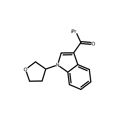 CC(C)C(=O)c1cn(C2CCOC2)c2ccccc12